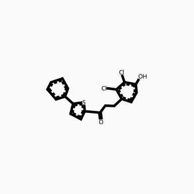 O=C(CCc1ccc(O)c(Cl)c1Cl)c1ccc(-c2ccccc2)s1